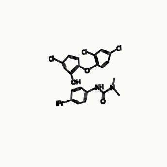 CC(C)c1ccc(NC(=O)N(C)C)cc1.Oc1cc(Cl)ccc1Oc1ccc(Cl)cc1Cl